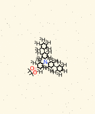 [2H]c1c([2H])c([2H])c(-c2c([2H])c([2H])c(N(c3c([2H])c([2H])c(B4OC(C)(C)C(C)(C)O4)c([2H])c3[2H])c3c([2H])c([2H])c(-c4c([2H])c([2H])c([2H])c([2H])c4[2H])c([2H])c3[2H])c([2H])c2[2H])c([2H])c1[2H]